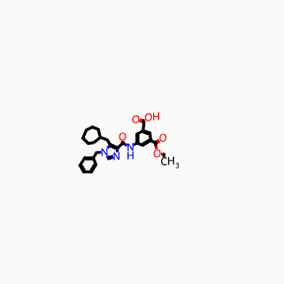 CCOC(=O)c1cc(NC(=O)c2ncn(Cc3ccccc3)c2CC2CCCCCC2)cc(C(=O)O)c1